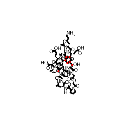 CSC[C@H](NC(=O)CNC(=O)[C@H](CC(C)C)NC(=O)C1CCCN1C(=O)COCCNC(=O)[C@H](Cc1ccc(C(C)=O)cc1)NC(=O)[C@@H](CCC(=O)O)NC(=O)[C@@H](CCC(=O)O)NC(=O)[C@@H](CCC(=O)O)NC(=O)[C@@H](CCC(=O)O)NC(=O)[C@@H](CCC(=O)O)NC(=O)[C@@H](CCCCN)NC(C)=O)C(=O)NC(C)C